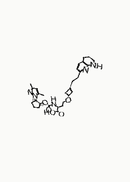 Cc1cc(C)n([C@H]2CCC[C@@H]2OC(=O)NC(CCO[C@H]2C[C@H](CCc3ccc4c(n3)NCCC4)C2)C(=O)O)n1